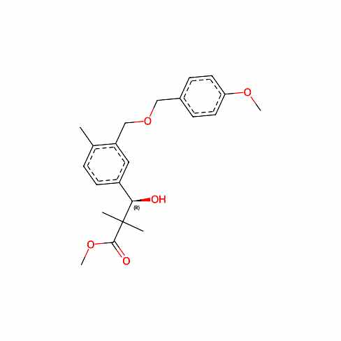 COC(=O)C(C)(C)[C@H](O)c1ccc(C)c(COCc2ccc(OC)cc2)c1